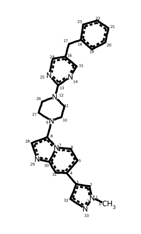 Cn1cc(-c2ccn3c(N4CCN(c5ncc(Cc6ccccc6)cn5)CC4)cnc3c2)cn1